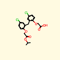 CC(C)OC(=O)COc1ccc(Cl)cc1Cc1cc(Cl)ccc1OCC(=O)O